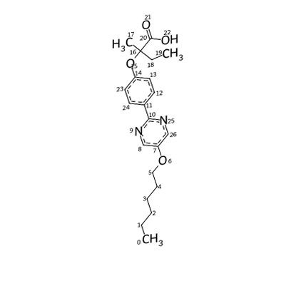 CCCCCCOc1cnc(-c2ccc(OC(C)(CC)C(=O)O)cc2)nc1